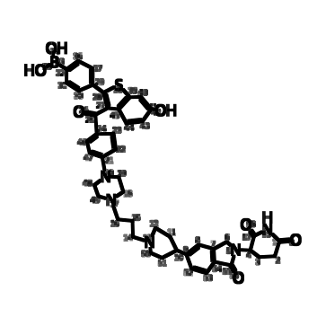 O=C1CCC(N2Cc3cc(C4CCN(CCCN5CCN(c6ccc(C(=O)c7c(-c8ccc(B(O)O)cc8)sc8cc(O)ccc78)cc6)CC5)CC4)ccc3C2=O)C(=O)N1